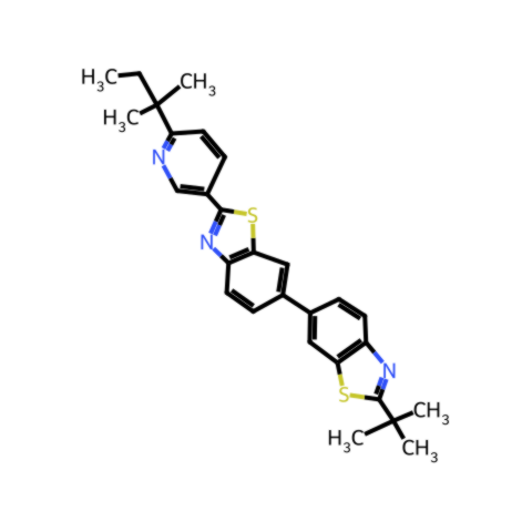 CCC(C)(C)c1ccc(-c2nc3ccc(-c4ccc5nc(C(C)(C)C)sc5c4)cc3s2)cn1